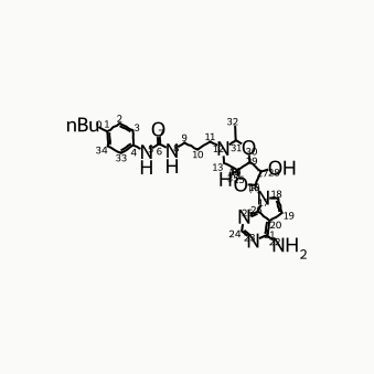 CCCCc1ccc(NC(=O)NCCCN2C[C@H]3O[C@@H](n4ccc5c(N)ncnc54)C(O)C3OC2C)cc1